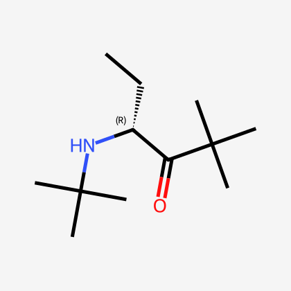 CC[C@@H](NC(C)(C)C)C(=O)C(C)(C)C